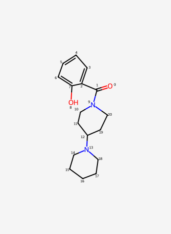 O=C(c1ccccc1O)N1CCC(N2CCCCC2)CC1